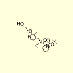 Cc1c(CN(C(=O)C23C=CCC(CC2)N3C(=O)OC(C)(C)C)C2CC2)ccnc1OCCCO